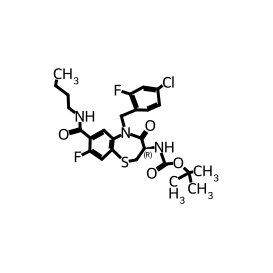 CCCCNC(=O)c1cc2c(cc1F)SC[C@H](NC(=O)OC(C)(C)C)C(=O)N2Cc1ccc(Cl)cc1F